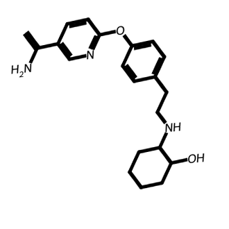 C=C(N)c1ccc(Oc2ccc(CCNC3CCCCC3O)cc2)nc1